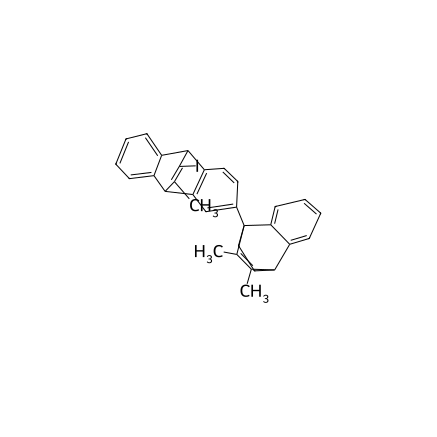 CC1=C(C)C2(c3ccc4c(c3)C3C(C)=C(I)C4c4ccccc43)CCC1c1ccccc12